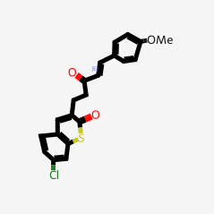 COc1ccc(/C=C/C(=O)CCc2cc3ccc(Cl)cc3sc2=O)cc1